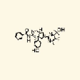 Cc1nc(N2C[C@@H]3CN=C(NC(=O)c4ccccc4)S[C@@]3(c3ccccc3)C2)nc(C(C)(C)O)c1F.Cl